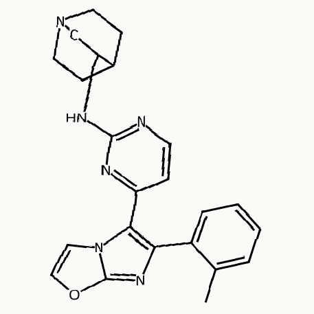 Cc1ccccc1-c1nc2occn2c1-c1ccnc(NC2CN3CCC2CC3)n1